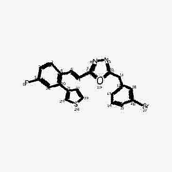 Fc1ccc(C=Cc2nnc(Cc3cccc(Br)c3)o2)c(-c2ccsc2)c1